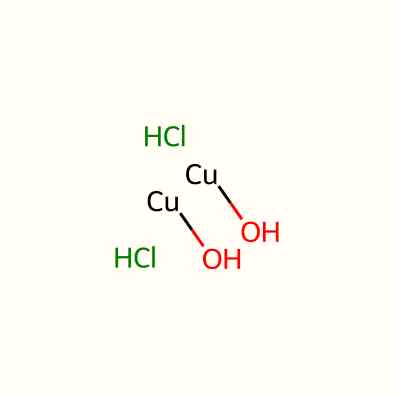 Cl.Cl.[OH][Cu].[OH][Cu]